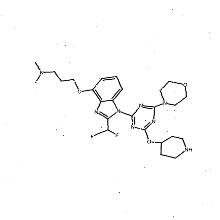 CN(C)CCCOc1cccc2c1nc(C(F)F)n2-c1nc(OC2CCNCC2)nc(N2CCOCC2)n1